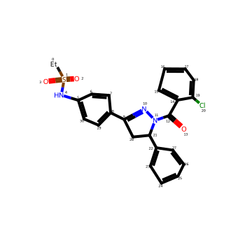 CCS(=O)(=O)Nc1ccc(C2=NN(C(=O)c3ccccc3Cl)C(c3ccccc3)C2)cc1